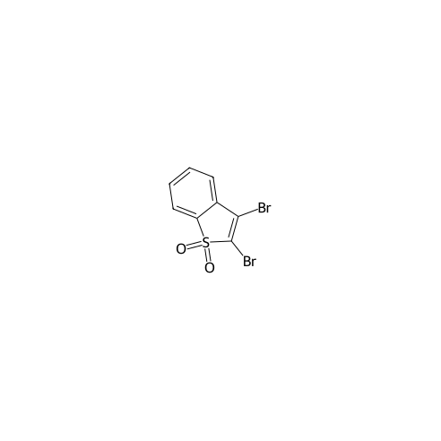 O=S1(=O)C(Br)=C(Br)c2ccccc21